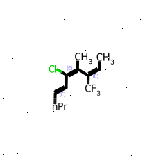 C\C=C(/C(C)=C(Cl)\C=C\CCC)C(F)(F)F